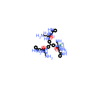 Cl.NCCCC[C@@](N)(C(=O)Nc1ccc(C(c2ccc(NC(=O)[C@](N)(CCCCN)C(=O)[C@H](N)Cc3c[nH]c4ccccc34)cc2)c2ccc(NC(=O)[C@](N)(CCCCN)C(=O)[C@H](N)Cc3c[nH]c4ccccc34)cc2)cc1)C(=O)[C@H](N)Cc1c[nH]c2ccccc12